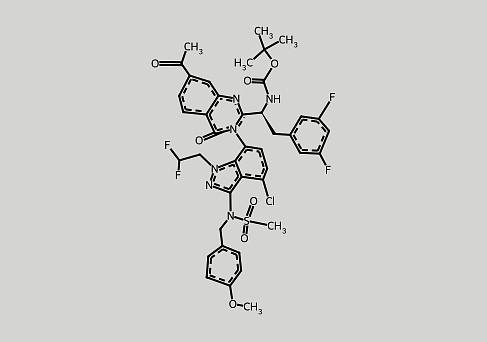 COc1ccc(CN(c2nn(CC(F)F)c3c(-n4c([C@H](Cc5cc(F)cc(F)c5)NC(=O)OC(C)(C)C)nc5cc(C(C)=O)ccc5c4=O)ccc(Cl)c23)S(C)(=O)=O)cc1